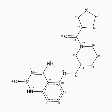 NC1=N[S+]([O-])Nc2cccc(OCC3CCCN(C(=O)C4CCCC4)C3)c21